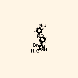 Cc1[nH]nc(-c2cccc([N]c3ccc(C(C)(C)C)cc3)c2)c1Br